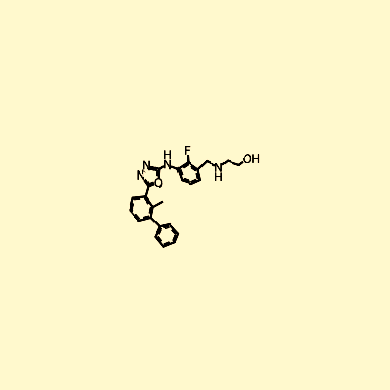 Cc1c(-c2ccccc2)cccc1-c1nnc(Nc2cccc(CNCCO)c2F)o1